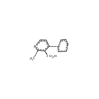 Cc1nccc(-c2ccccc2)c1C(=O)O